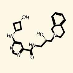 O=C(NC[C@H](O)CN1CCc2ccccc2C1)c1cc(N[C@H]2C[C@@H](O)C2)ncn1